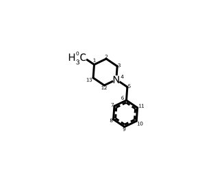 CC1CCN(Cc2ccccc2)CC1